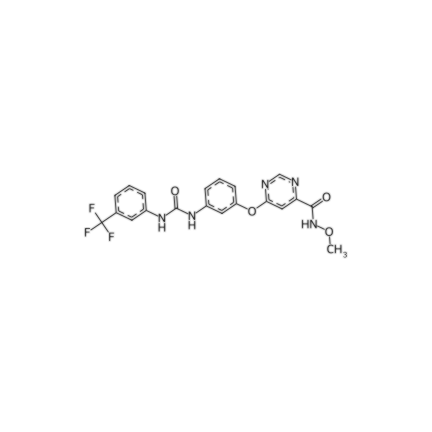 CONC(=O)c1cc(Oc2cccc(NC(=O)Nc3cccc(C(F)(F)F)c3)c2)ncn1